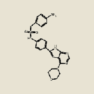 Nc1ccc(CS(=O)(=O)Nc2ccc(-c3cc4c(N5CCOCC5)ncnc4[nH]3)cc2)cc1